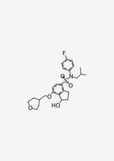 CC(C)CN(c1ccc(F)cc1)S(=O)(=O)c1ccc(OCC2CCOCC2)c2c1CCC2O